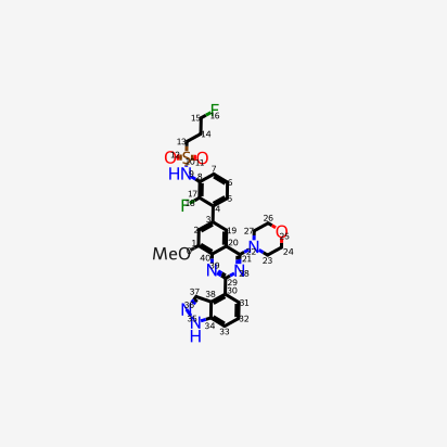 COc1cc(-c2cccc(NS(=O)(=O)CCCF)c2F)cc2c(N3CCOCC3)nc(-c3cccc4[nH]ncc34)nc12